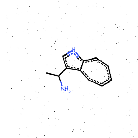 CC(N)c1cnc2cccccc1-2